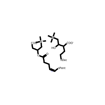 CCCCC/C=C\CCC(=O)OC(CC(=O)[O-])C[N+](C)(C)C.CCCCCCCCCCCCC(C(=O)[O-])C(O)C[N+](C)(C)C